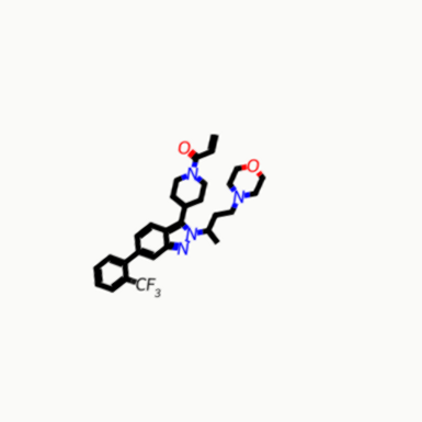 C=CC(=O)N1CCC(c2c3ccc(-c4ccccc4C(F)(F)F)cc3nn2C(C)CCN2CCOCC2)CC1